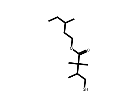 CCC(C)CCOC(=O)C(C)(C)C(C)CS